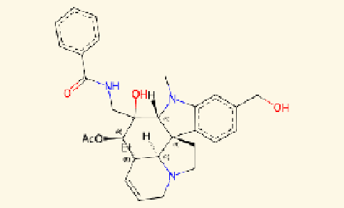 CC[C@]12C=CCN3CC[C@@]4(c5ccc(CO)cc5N(C)[C@H]4C(O)(CNC(=O)c4ccccc4)[C@@H]1OC(C)=O)[C@@H]32